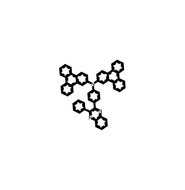 c1ccc(-c2nc3ccccc3nc2-c2ccc(N(c3ccc4c5ccccc5c5ccccc5c4c3)c3ccc4c5ccccc5c5ccccc5c4c3)cc2)cc1